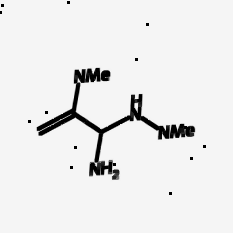 C=C(NC)C(N)NNC